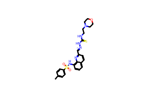 Cc1ccc(S(=O)(=O)Nc2cccc3ccc(/C=N/NC(=S)NCCN4CCOCC4)nc23)cc1